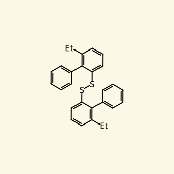 CCc1cccc(SSc2cccc(CC)c2-c2ccccc2)c1-c1ccccc1